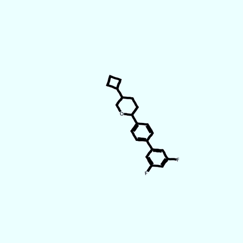 Fc1cc(F)cc(-c2ccc(C3CCC(C4CCC4)CO3)cc2)c1